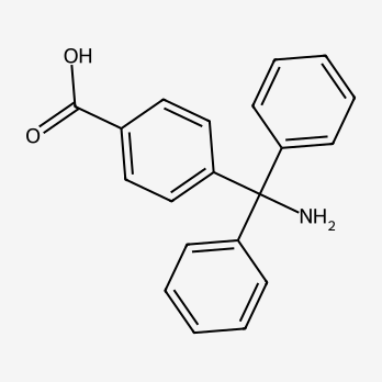 NC(c1ccccc1)(c1ccccc1)c1ccc(C(=O)O)cc1